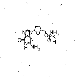 Nc1nc2c(ncn2[C@H]2CC[C@@H](COP(N)(=O)S)O2)c(=O)[nH]1